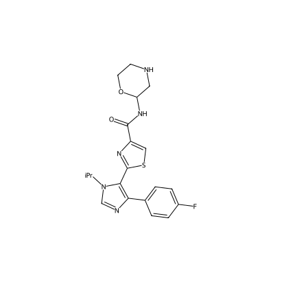 CC(C)n1cnc(-c2ccc(F)cc2)c1-c1nc(C(=O)NC2CNCCO2)cs1